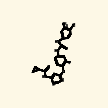 O=C(Nc1ccc(Oc2cc(NC(=O)C3CC3)ncn2)c(F)c1)Nc1ccc(Cl)c(C(F)(F)F)c1